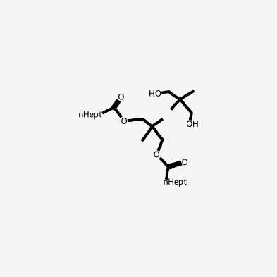 CC(C)(CO)CO.CCCCCCCC(=O)OCC(C)(C)COC(=O)CCCCCCC